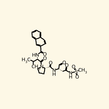 CC(C)[C@H](NC(=O)c1ccc2ccccc2c1)C(=O)N1CCC[C@H]1C(=O)N[C@H](C=O)CC(=O)NS(C)(=O)=O